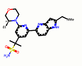 CC[C@H]1COCCN1c1cc(C(C)(C)S(N)(=O)=O)cc(-c2ccc3[nH]c(CNC)cc3n2)n1